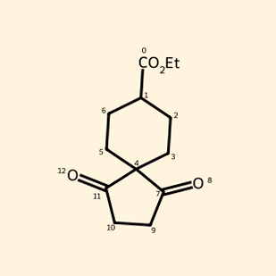 CCOC(=O)C1CCC2(CC1)C(=O)CCC2=O